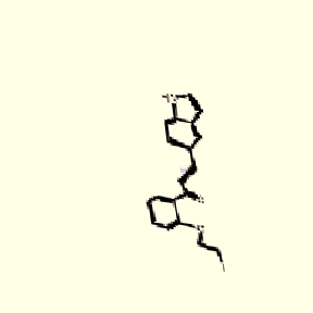 O=C(/C=C/c1ccc2[nH]ccc2c1)c1ccccc1OCCI